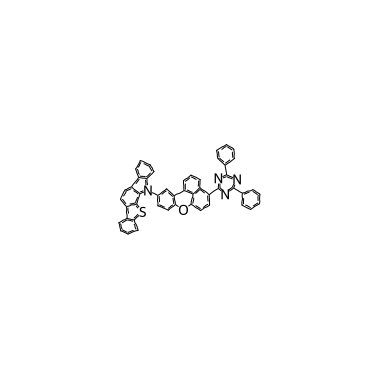 c1ccc(-c2nc(-c3ccccc3)nc(-c3ccc4c5c(cccc35)-c3cc(-n5c6ccccc6c6ccc7c8ccccc8sc7c65)ccc3O4)n2)cc1